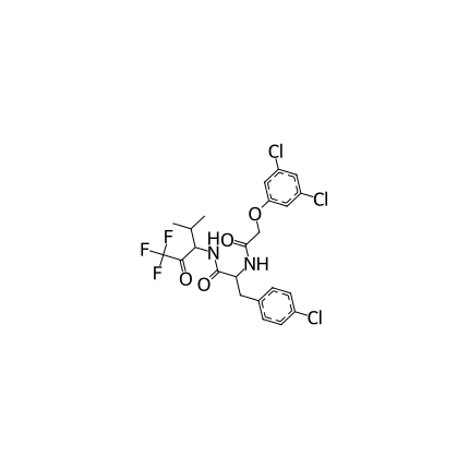 CC(C)C(NC(=O)C(Cc1ccc(Cl)cc1)NC(=O)COc1cc(Cl)cc(Cl)c1)C(=O)C(F)(F)F